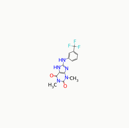 Cn1c(=O)c2[nH]c(Nc3cccc(C(F)(F)F)c3)nc2n(C)c1=O